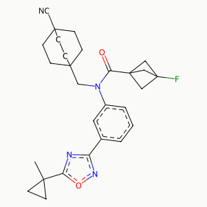 CC1(c2nc(-c3cccc(N(CC45CCC(C#N)(CC4)CC5)C(=O)C45CC(F)(C4)C5)c3)no2)CC1